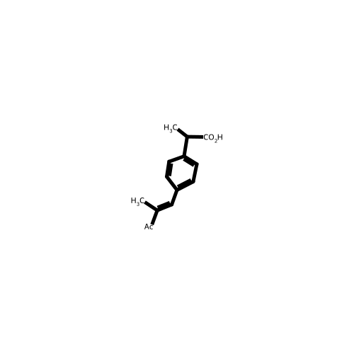 CC(=O)/C(C)=C/c1ccc(C(C)C(=O)O)cc1